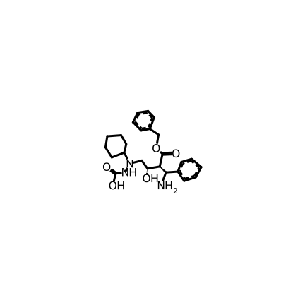 NC(c1ccccc1)[C@H](C(=O)OCc1ccccc1)[C@H](O)CN(NC(=O)O)C1CCCCC1